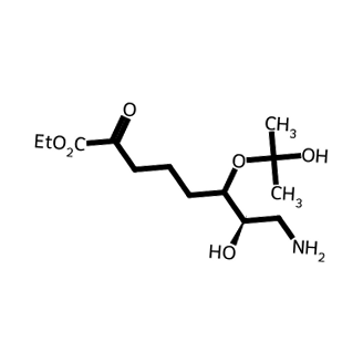 CCOC(=O)C(=O)CCCC(OC(C)(C)O)[C@H](O)CN